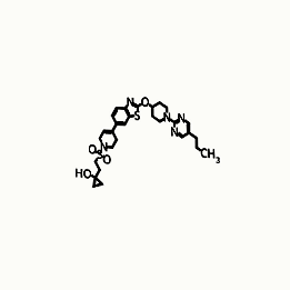 CCCc1cnc(N2CCC(Oc3nc4ccc(C5=CCN(S(=O)(=O)CCC6(O)CC6)CC5)cc4s3)CC2)nc1